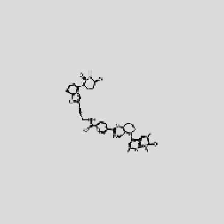 Cc1cc(N2CCCc3nc(-c4ccc(C(=O)NCC#Cc5cc6c(C7CCC(=O)NC7=O)cccc6o5)nc4)ncc32)c2cc(C)c(=O)n(C)c2n1